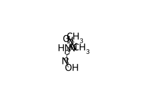 CC(=O)N1CCc2c(c(Nc3ccc(C4=CC(CCO)N=C4)cc3)nn2C)C1